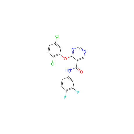 O=C(Nc1ccc(F)c(F)c1)c1cncnc1Oc1cc(Cl)ccc1Cl